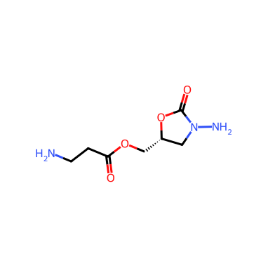 NCCC(=O)OC[C@H]1CN(N)C(=O)O1